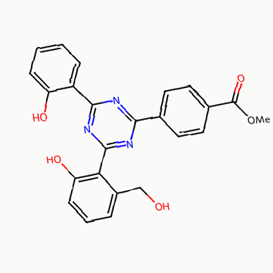 COC(=O)c1ccc(-c2nc(-c3ccccc3O)nc(-c3c(O)cccc3CO)n2)cc1